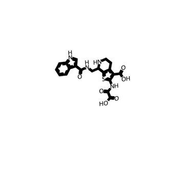 O=C(O)C(=O)Nc1sc2c(c1C(=O)O)CCNC2CNC(=O)c1c[nH]c2ccccc12